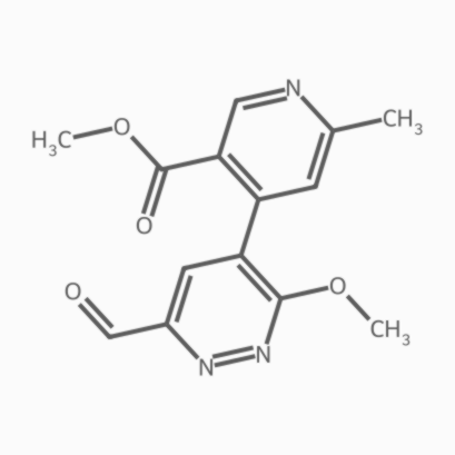 COC(=O)c1cnc(C)cc1-c1cc(C=O)nnc1OC